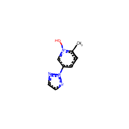 Cc1ccc(-n2nccn2)c[n+]1O